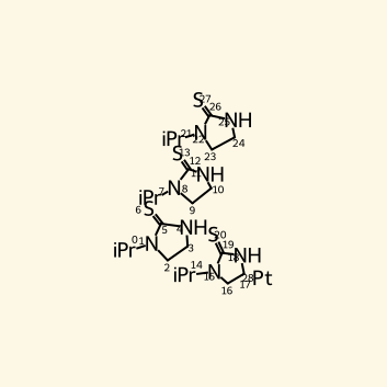 CC(C)N1CCNC1=S.CC(C)N1CCNC1=S.CC(C)N1CCNC1=S.CC(C)N1CCNC1=S.[Pt]